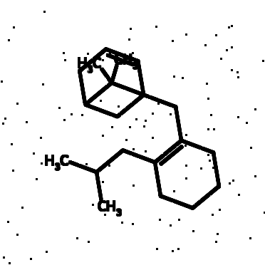 CC(C)CC1=C(CC23C=CCC(C2)C3(C)C)CCCC1